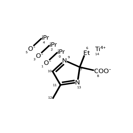 CC(C)[O-].CC(C)[O-].CC(C)[O-].CCC1(C(=O)[O-])N=CC(C)=N1.[Ti+4]